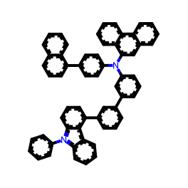 c1ccc(-n2c3ccccc3c3c(-c4cccc(-c5cccc(N(c6ccc(-c7cccc8ccccc78)cc6)c6cc7ccccc7c7ccccc67)c5)c4)cccc32)cc1